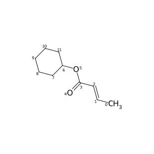 C/C=C/C(=O)OC1CCCCC1